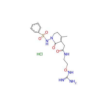 CC1=C(CC(=O)NCCONC(=N)N)C(=O)N(NS(=O)(=O)c2ccccc2)CC1.Cl